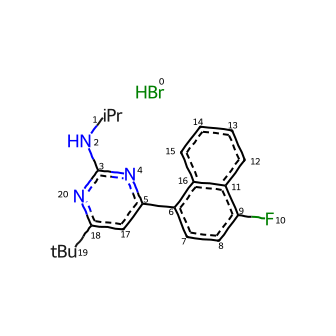 Br.CC(C)Nc1nc(-c2ccc(F)c3ccccc23)cc(C(C)(C)C)n1